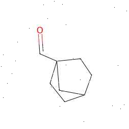 O=CC12CCC(CC1)C2